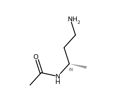 CC(=O)N[C@@H](C)CCN